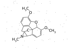 COC1=CC=C2C3N(C)C34Cc3ccc(OC)c5c3C2(C4)C1O5